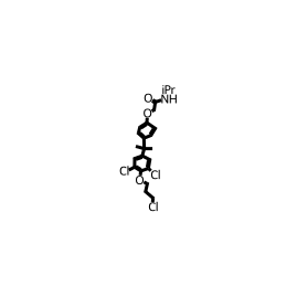 CC(C)NC(=O)COc1ccc(C(C)(C)c2cc(Cl)c(OCCCCl)c(Cl)c2)cc1